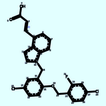 O=C(O)/C=C/c1cccc2c1ccn2Cc1cc(Cl)ccc1OCc1ccc(Cl)cc1F